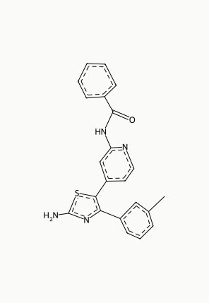 Cc1cccc(-c2nc(N)sc2-c2ccnc(NC(=O)c3ccccc3)c2)c1